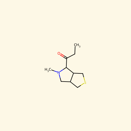 CCC(=O)C1C2CSCC2CN1C